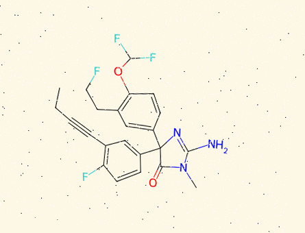 CCC#Cc1cc(C2(c3ccc(OC(F)F)c(CCF)c3)N=C(N)N(C)C2=O)ccc1F